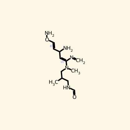 C=N/C(=C\C(N)/C=C/ON)N(C)CC(C)CNC=O